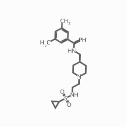 Cc1cc(C)cc(C(=P)NCC2CCN(CCNS(=O)(=O)C3CC3)CC2)c1